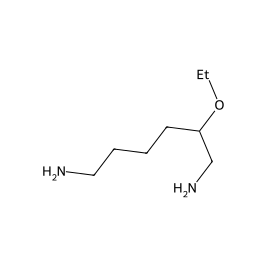 CCOC(CN)CCCCN